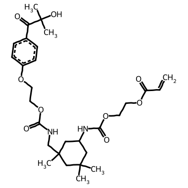 C=CC(=O)OCCOC(=O)NC1CC(C)(C)CC(C)(CNC(=O)OCCOc2ccc(C(=O)C(C)(C)O)cc2)C1